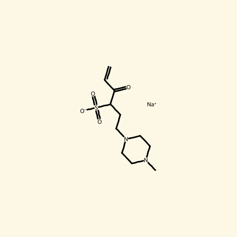 C=CC(=O)C(CCN1CCN(C)CC1)S(=O)(=O)[O-].[Na+]